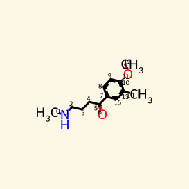 CNCCCC(=O)c1ccc(OC)c(C)c1